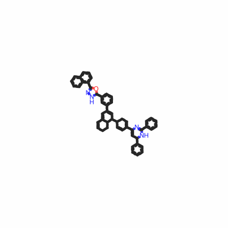 C1=CC2=CC(c3cccc(C4NN=C(c5cccc6ccccc56)O4)c3)=CC(C3C=CC(C4=CC(c5ccccc5)NC(c5ccccc5)=N4)=CC3)C2CC1